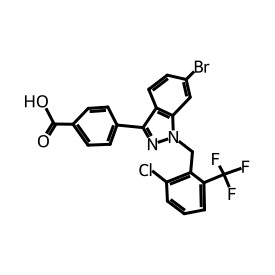 O=C(O)c1ccc(-c2nn(Cc3c(Cl)cccc3C(F)(F)F)c3cc(Br)ccc23)cc1